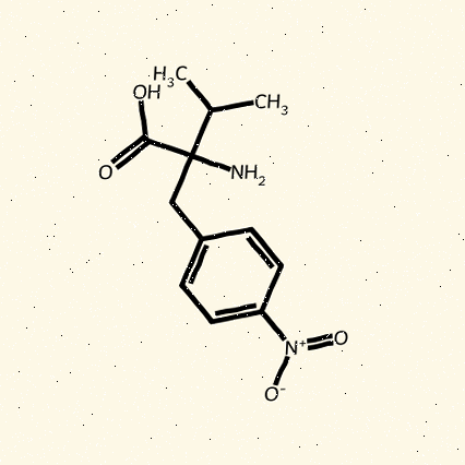 CC(C)C(N)(Cc1ccc([N+](=O)[O-])cc1)C(=O)O